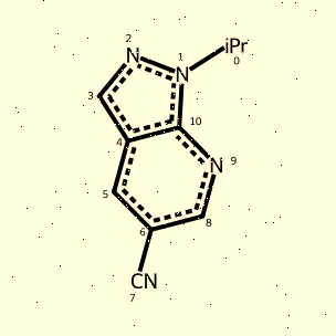 CC(C)n1ncc2cc(C#N)cnc21